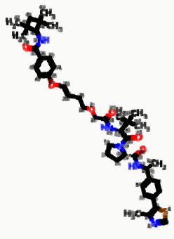 Cc1ncsc1-c1ccc([C@H](C)NC(=O)[C@@H]2CCCN2C(=O)[C@@H](NC(=O)COCCCCOc2ccc(C(=O)NC3C(C)(C)CC3(C)C)cc2)C(C)(C)C)cc1